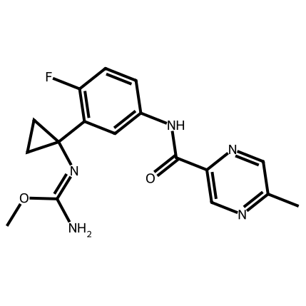 CO/C(N)=N\C1(c2cc(NC(=O)c3cnc(C)cn3)ccc2F)CC1